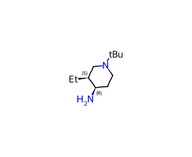 CC[C@H]1CN(C(C)(C)C)CC[C@H]1N